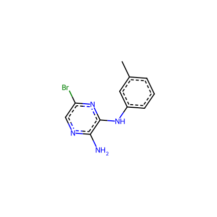 Cc1cccc(Nc2nc(Br)cnc2N)c1